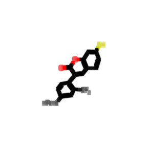 CCCCCc1ccc(-c2cc3ccc(S)cc3oc2=O)c(C(F)(F)F)c1